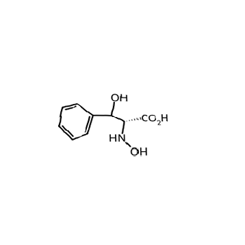 O=C(O)[C@H](NO)C(O)c1ccccc1